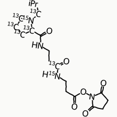 C[13CH](C)[13CH2][15N]1[13CH2][13CH2][13CH2][13CH]1C(=O)NCC[13C](=O)[15NH]CCC(=O)ON1C(=O)CCC1=O